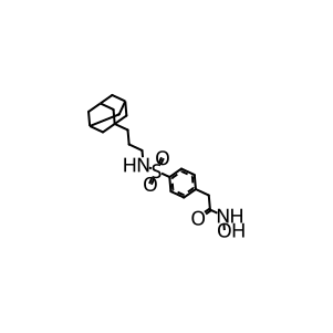 O=C(Cc1ccc(S(=O)(=O)NCCCC23CC4CC(CC(C4)C2)C3)cc1)NO